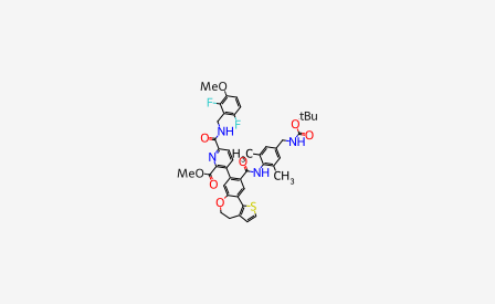 COC(=O)c1nc(C(=O)NCc2c(F)ccc(OC)c2F)ccc1-c1cc2c(cc1C(=O)Nc1c(C)cc(CNC(=O)OC(C)(C)C)cc1C)-c1sccc1CCO2